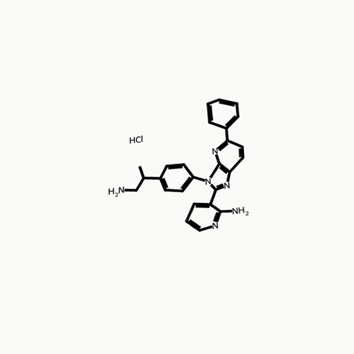 CC(CN)c1ccc(-n2c(-c3cccnc3N)nc3ccc(-c4ccccc4)nc32)cc1.Cl